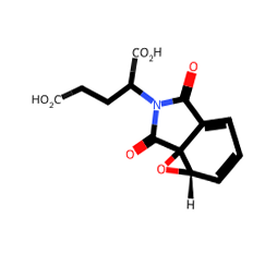 O=C(O)CCC(C(=O)O)N1C(=O)C2=CC=C[C@@H]3OC23C1=O